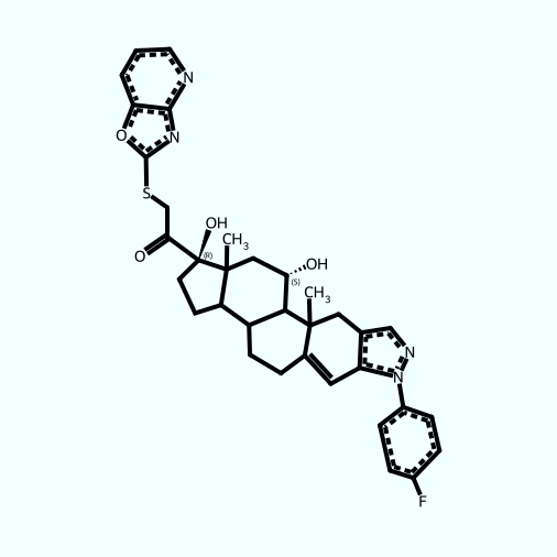 CC12Cc3cnn(-c4ccc(F)cc4)c3C=C1CCC1C2[C@@H](O)CC2(C)C1CC[C@]2(O)C(=O)CSc1nc2ncccc2o1